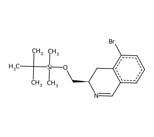 CC(C)(C)[Si](C)(C)OC[C@H]1Cc2c(Br)cccc2C=N1